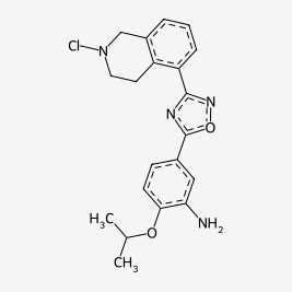 CC(C)Oc1ccc(-c2nc(-c3cccc4c3CCN(Cl)C4)no2)cc1N